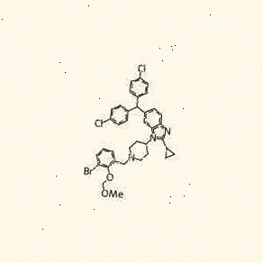 COCOc1c(Br)cccc1CN1CCC(n2c(C3CC3)nc3ccc(C(c4ccc(Cl)cc4)c4ccc(Cl)cc4)cc32)CC1